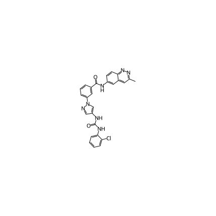 Cc1cc2cc(NC(=O)c3cccc(-n4cc(NC(=O)Nc5ccccc5Cl)cn4)c3)ccc2nn1